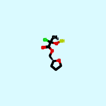 CC(Cl)(OS)C(=O)OC[C@H]1CCCO1